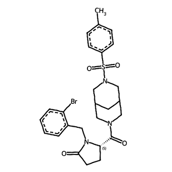 Cc1ccc(S(=O)(=O)N2CC3CC(CN(C(=O)[C@@H]4CCC(=O)N4Cc4ccccc4Br)C3)C2)cc1